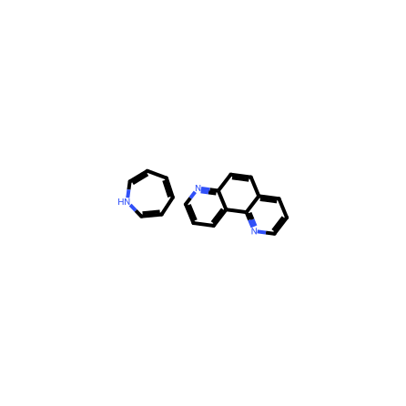 C1=CC=CNC=C1.c1cnc2c(c1)ccc1ncccc12